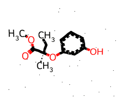 CC[C@@](C)(Oc1cccc(O)c1)C(=O)OC